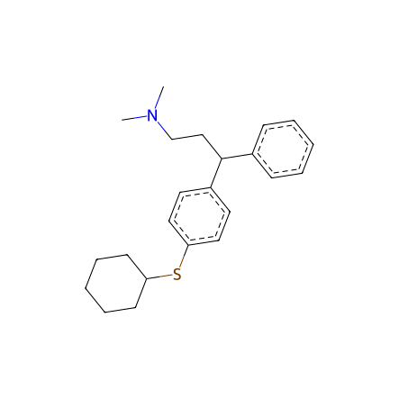 CN(C)CCC(c1ccccc1)c1ccc(SC2CCCCC2)cc1